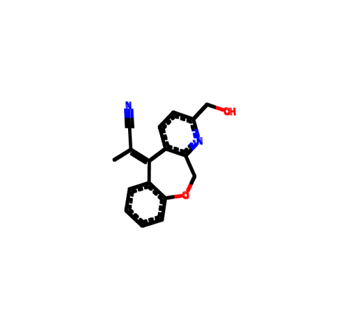 C/C(C#N)=C1\c2ccccc2OCc2nc(CO)ccc21